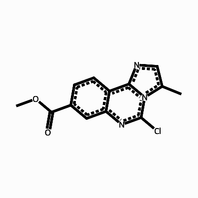 COC(=O)c1ccc2c(c1)nc(Cl)n1c(C)cnc21